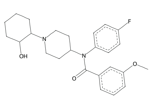 COc1cccc(C(=O)N(c2ccc(F)cc2)C2CCN(C3CCCCC3O)CC2)c1